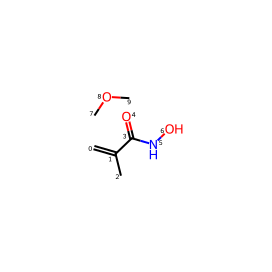 C=C(C)C(=O)NO.COC